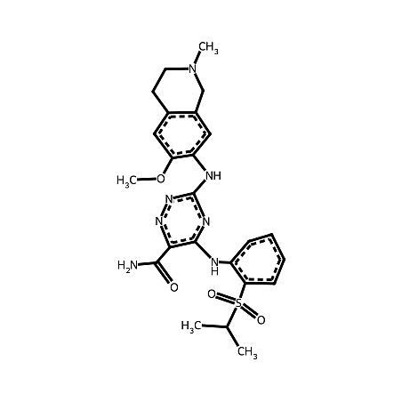 COc1cc2c(cc1Nc1nnc(C(N)=O)c(Nc3ccccc3S(=O)(=O)C(C)C)n1)CN(C)CC2